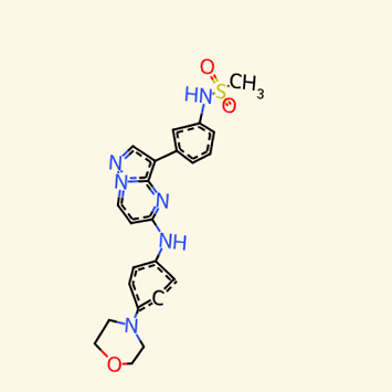 CS(=O)(=O)Nc1cccc(-c2cnn3ccc(Nc4ccc(N5CCOCC5)cc4)nc23)c1